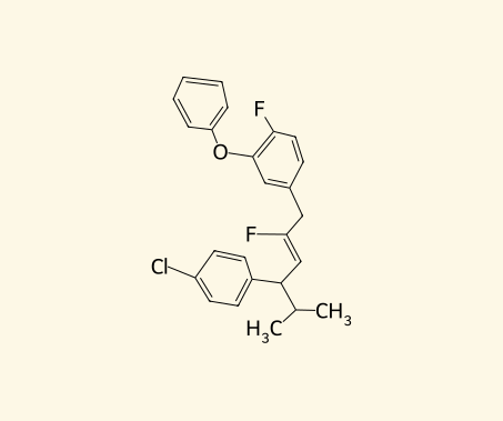 CC(C)C(C=C(F)Cc1ccc(F)c(Oc2ccccc2)c1)c1ccc(Cl)cc1